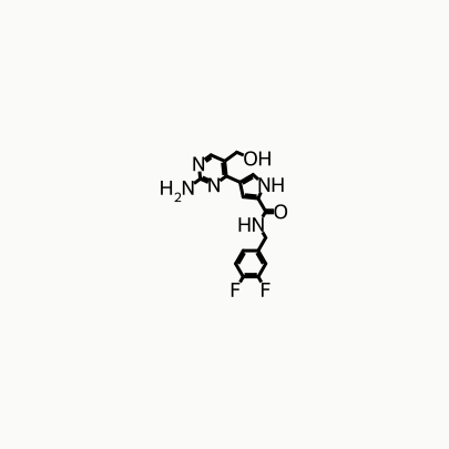 Nc1ncc(CO)c(-c2c[nH]c(C(=O)NCc3ccc(F)c(F)c3)c2)n1